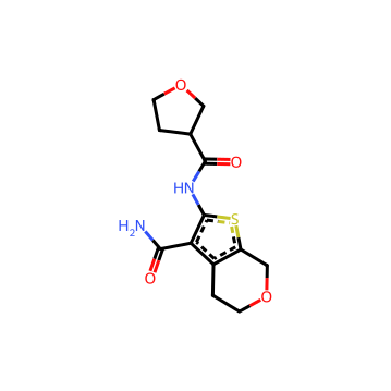 NC(=O)c1c(NC(=O)C2CCOC2)sc2c1CCOC2